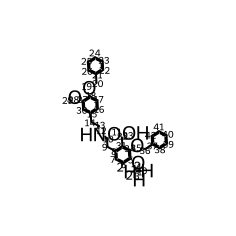 [2H]C([2H])([2H])Oc1ccc(CC(=O)NCCc2ccc(OCc3ccccc3)c(OC)c2)c(CO)c1OCc1ccccc1